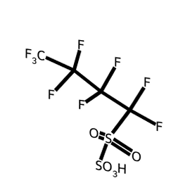 O=S(=O)(O)S(=O)(=O)C(F)(F)C(F)(F)C(F)(F)C(F)(F)F